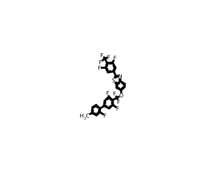 Cc1ccc(-c2cc(F)c(C(F)(F)Oc3ccc4nc(-c5cc(F)c(C(F)(F)F)c(F)c5)sc4c3)c(F)c2)c(F)c1